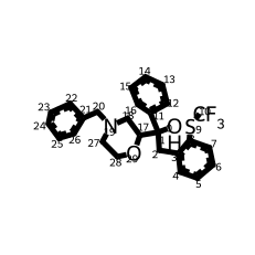 OC(Cc1ccccc1SC(F)(F)F)(c1ccccc1)C1CN(Cc2ccccc2)CCO1